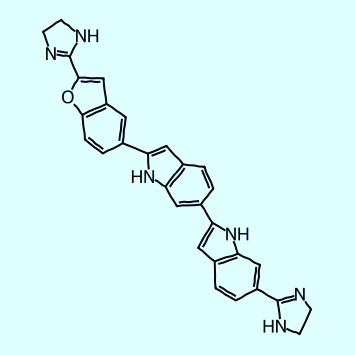 c1cc2cc(-c3ccc4cc(-c5ccc6oc(C7=NCCN7)cc6c5)[nH]c4c3)[nH]c2cc1C1=NCCN1